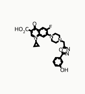 O=C(O)c1cn(C2CC2)c2cc(N3CCN(Cc4nnc(-c5cccc(O)c5)o4)CC3)c(F)cc2c1=O